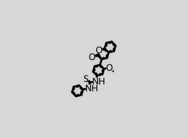 COc1cc(NC(=S)Nc2ccccc2)ccc1-c1cc2ccccc2oc1=O